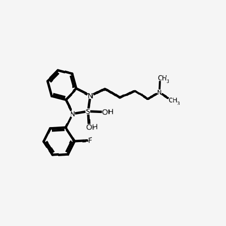 CN(C)CCCCN1c2ccccc2N(c2ccccc2F)S1(O)O